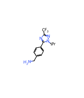 CC(C)n1nc(C(F)(F)F)nc1-c1ccc(CN)cc1